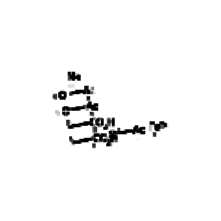 CC(=O)O.CC(=O)O.CC(=O)[O-].CC(=O)[O-].CC(=O)[O-].[Fe+2].[Na+]